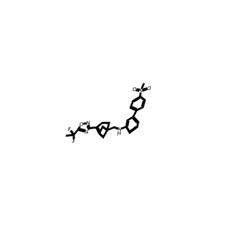 CC(F)(F)c1nc(C2=C3CC(CNc4cccc(-c5ccc(S(C)(=O)=O)cc5)c4)(CC2)C3)no1